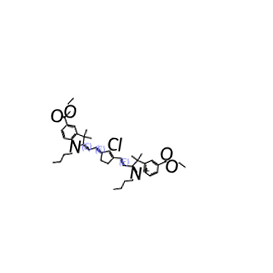 CCCCN1/C(=C/C=C2\CCC(/C=C/C3=[N+](CCCC)c4ccc(C(=O)OCC)cc4C3(C)C)=C2Cl)C(C)(C)c2cc(C(=O)OCC)ccc21